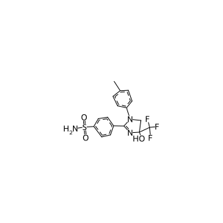 Cc1ccc(N2CC(O)(C(F)(F)F)N=C2c2ccc(S(N)(=O)=O)cc2)cc1